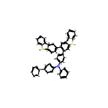 c1ccc(-c2ccc(N(c3ccccc3)c3ccc(-c4cc5sc6ccccc6c5cc4-c4ccc5sc6ccccc6c5c4)cc3)cc2)cc1